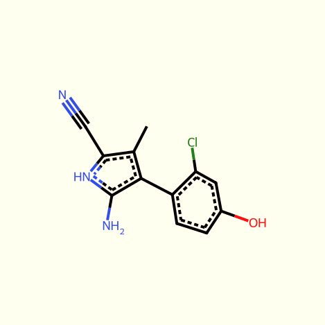 Cc1c(C#N)[nH]c(N)c1-c1ccc(O)cc1Cl